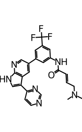 CN(C)CC=CC(=O)Nc1cc(-c2cnc3[nH]cc(-c4ccncn4)c3c2)cc(C(F)(F)F)c1